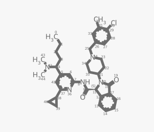 CCCCC(c1cc(NC(=O)[C@@H]2c3ccccc3C(=O)N2C2CCN(Cc3ccc(Cl)c(C)c3)CC2)nc(C2CC2)c1)N(C)C